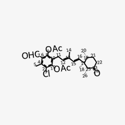 CC(=O)Oc1c(Cl)c(C)c(C=O)c(OC(C)=O)c1C/C=C(C)/C=C/[C@@]1(C)[C@H](C)CCC(=O)[C@@H]1C